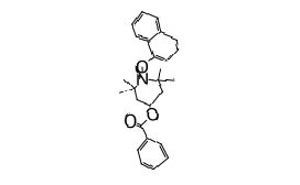 CC1(C)CC(OC(=O)c2ccccc2)CC(C)(C)N1OC1=CCCc2ccccc21